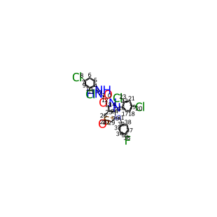 O=C(NNc1ccc(Cl)cc1Cl)Oc1nn(-c2ccc(Cl)cc2Cl)c2c1C[S+]([O-])C/C2=C\c1ccc(F)cc1